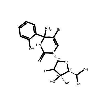 CC(=O)C(O)[C@H]1O[C@@H](N2C=C(Br)C(N)(c3ccccc3O)NC2=O)C(F)[C@@]1(O)C(C)=O